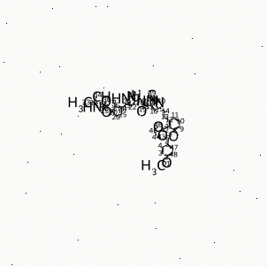 COc1ccc(COc2cccc(CCc3cc(C(=O)Nc4cc([C@H]5CC[C@@H](OC(=O)NC(C)C)C5)[nH]n4)n(C)n3)c2C2OCCO2)cc1